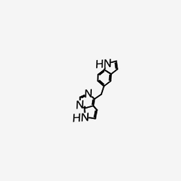 c1nc(Cc2ccc3[nH]ccc3c2)c2cc[nH]c2n1